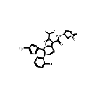 O=C(N[C@H]1CCS(=O)(=O)C1)c1c(C(F)F)nn2c(-c3ccc(C(F)(F)F)cc3)c(-c3ccccc3Cl)cnc12